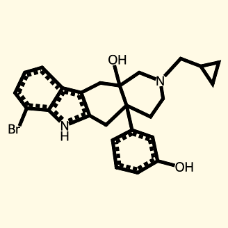 Oc1cccc(C23CCN(CC4CC4)CC2(O)Cc2c([nH]c4c(Br)cccc24)C3)c1